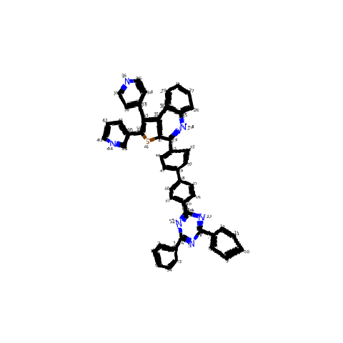 c1ccc(-c2nc(-c3ccccc3)nc(-c3ccc(-c4ccc(-c5nc6ccccc6c6c(-c7ccncc7)c(-c7cccnc7)sc56)cc4)cc3)n2)cc1